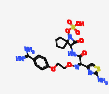 N=C(N)c1ccc(OCCON=C(C(=O)NC2C(=O)N(OS(=O)(=O)O)C23CCCC3)c2csc(N)n2)cc1